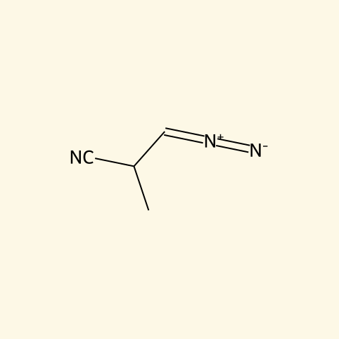 CC(C#N)C=[N+]=[N-]